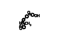 C[C@@H](N[C@H]1CC[C@@H](c2ccc(C(=O)N3CCC(O)CC3)cc2)C1)c1cccc2c1OCCO2